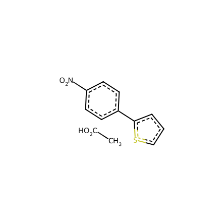 CC(=O)O.O=[N+]([O-])c1ccc(-c2cccs2)cc1